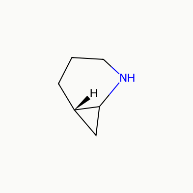 C1CNC2C[C@@H]2C1